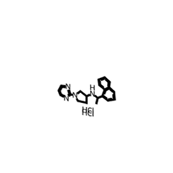 CC(NC1CCN(c2ncccn2)C1)c1cccc2ccccc12.Cl.Cl